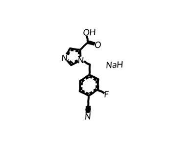 N#Cc1ccc(Cn2cncc2C(=O)O)cc1F.[NaH]